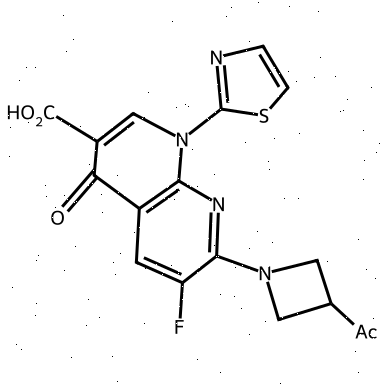 CC(=O)C1CN(c2nc3c(cc2F)c(=O)c(C(=O)O)cn3-c2nccs2)C1